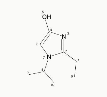 CCc1nc(O)cn1C(C)C